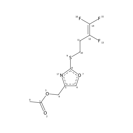 CC(=O)OCc1coc(SCCC(F)=C(F)F)n1